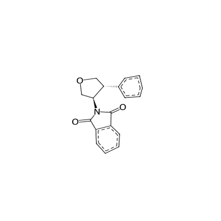 O=C1c2ccccc2C(=O)N1[C@H]1COC[C@@H]1c1ccccc1